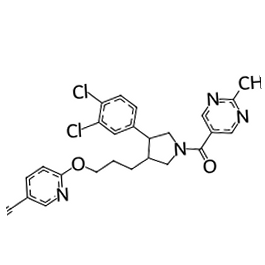 Cc1ncc(C(=O)N2CC(CCCOc3ccc(C#N)cn3)C(c3ccc(Cl)c(Cl)c3)C2)cn1